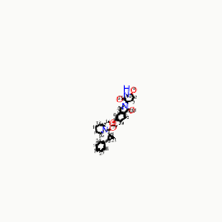 O=C1CCC(N2Cc3cc(OC[C@H]4CCCCN4C(=O)[C@@H]4C[C@@H]4c4ccccc4)ccc3C2=O)C(=O)N1